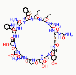 CCCC[C@H]1C(=O)N(C)[C@@H](CCCC)C(=O)N[C@@H](CN)C(=O)N[C@H](C(=O)NCC(N)=O)CSCC(=O)N[C@H]2Cc3ccc(O)cc3N(C2=O)[C@@H](C)C(=O)N[C@@H](CC(=O)O)C(=O)N2CCC[C@H]2C(=O)N[C@@H](CN)C(=O)N[C@@H](CC(=O)O)C(=O)N2C[C@H](O)C[C@H]2C(=O)N[C@@H](Cc2c[nH]c3ccccc23)C(=O)N[C@@H](CCN)C(=O)N[C@@H](Cc2csc3ccccc23)C(=O)N1C